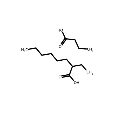 CCCC(=O)O.CCCCCCC(CC)C(=O)O